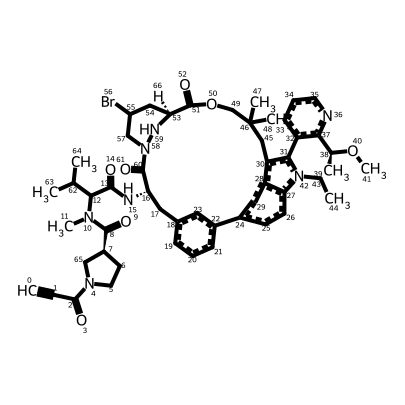 C#CC(=O)N1CC[C@H](C(=O)N(C)C(C(=O)N[C@H]2Cc3cccc(c3)-c3ccc4c(c3)c(c(-c3cccnc3[C@H](C)OC)n4CC)CC(C)(C)COC(=O)[C@@H]3CC(Br)CN(N3)C2=O)C(C)C)C1